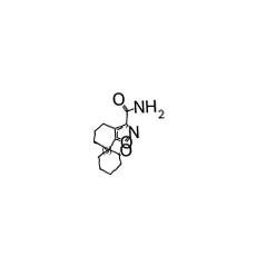 NC(=O)c1noc2c1CCC[C@@]21CCCCC1=O